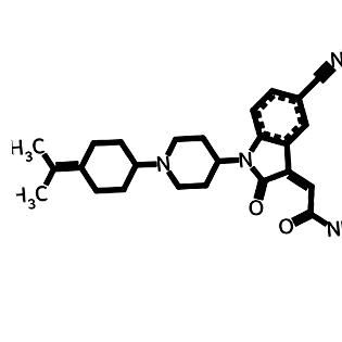 CC(C)=C1CCC(N2CCC(N3C(=O)C(=CC(N)=O)c4cc(C#N)ccc43)CC2)CC1